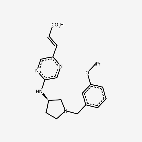 CC(C)Oc1cccc(CN2CC[C@@H](Nc3cnc(/C=C/C(=O)O)cn3)C2)c1